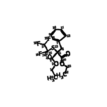 CCOC(=O)C(Cc1ccccc1)(SC(F)(F)C(F)F)C(=O)OCC